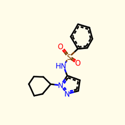 O=S(=O)(Nc1ccnn1C1CCCCC1)c1ccccc1